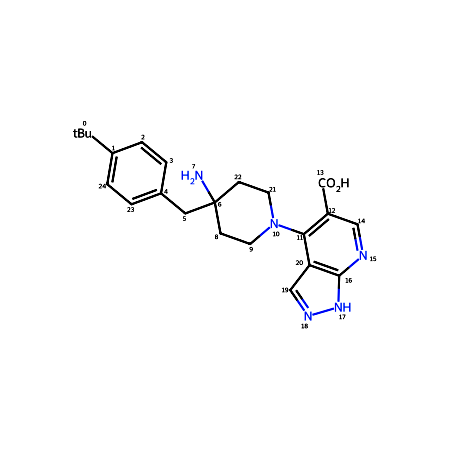 CC(C)(C)c1ccc(CC2(N)CCN(c3c(C(=O)O)cnc4[nH]ncc34)CC2)cc1